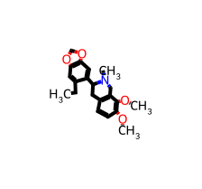 CCc1cc2c(cc1C1Cc3ccc(OC)c(OC)c3CN1C)OCO2